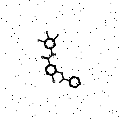 CC(Sc1cc(C(=O)Nc2cc(F)c(F)c(F)c2)ccc1Cl)c1ccncc1